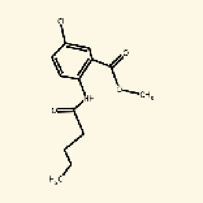 CCCCC(=O)Nc1ccc(Cl)cc1C(=O)OC